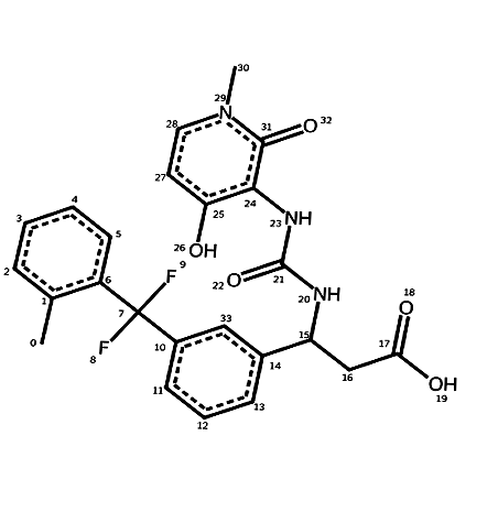 Cc1ccccc1C(F)(F)c1cccc(C(CC(=O)O)NC(=O)Nc2c(O)ccn(C)c2=O)c1